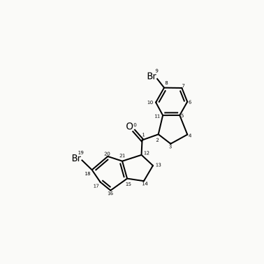 O=C(C1CCc2ccc(Br)cc21)C1CCc2ccc(Br)cc21